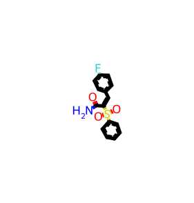 NC(=O)/C(=C\c1ccc(F)cc1)S(=O)(=O)c1ccccc1